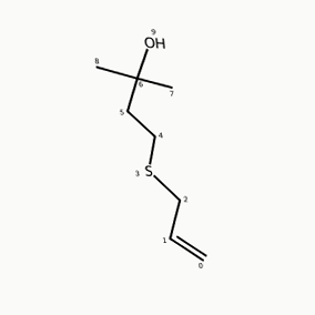 C=CCSCCC(C)(C)O